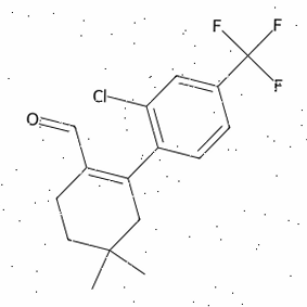 CC1(C)CCC(C=O)=C(c2ccc(C(F)(F)F)cc2Cl)C1